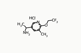 Cc1cc(C(C)N)cnc1OCC(F)(F)F.Cl